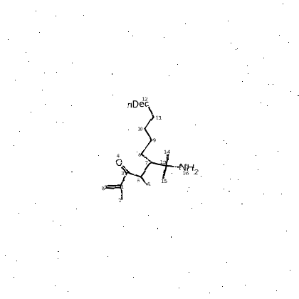 C=C(C)C(=O)C(C)C(CCCCCCCCCCCCCC)C(C)(C)N